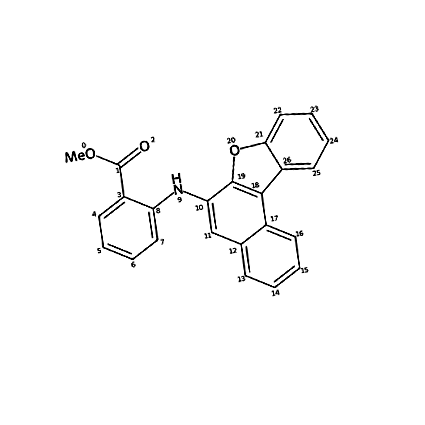 COC(=O)c1ccccc1Nc1cc2ccccc2c2c1oc1ccccc12